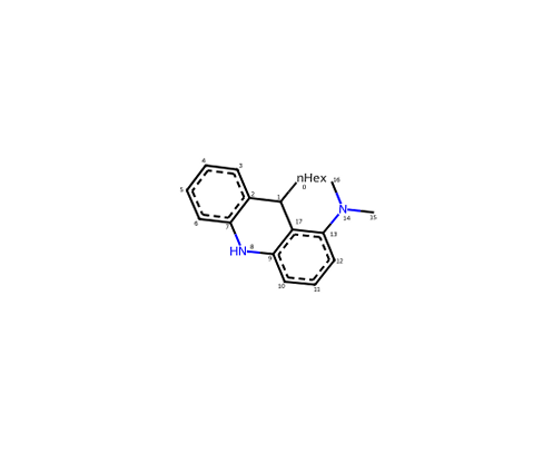 CCCCCCC1c2ccccc2Nc2cccc(N(C)C)c21